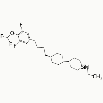 CCC[Si@H]1CC[C@H]([C@H]2CC[C@H](CCCCc3cc(F)c(OC(F)F)c(F)c3)CC2)CC1